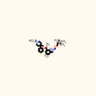 CC(OCC1(c2ccc(F)cc2)CCN(C(=O)O)CC1)c1cc(C(F)(F)F)cc2cn(COCC[Si](C)(C)C)nc12